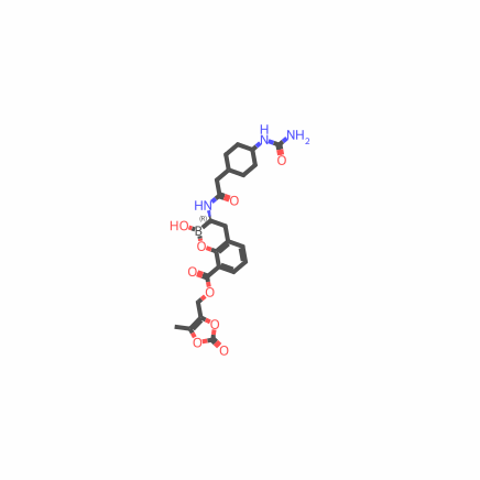 Cc1oc(=O)oc1COC(=O)c1cccc2c1OB(O)[C@@H](NC(=O)CC1CCC(NC(N)=O)CC1)C2